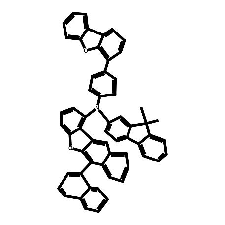 CC1(C)c2ccccc2-c2ccc(N(c3ccc(-c4cccc5c4oc4ccccc45)cc3)c3cccc4oc5c(-c6cccc7ccccc67)c6ccccc6cc5c34)cc21